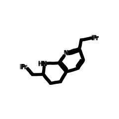 CC(C)Cc1ccc2c(n1)NC(CC(C)C)CC2